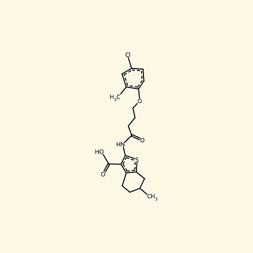 Cc1cc(Cl)ccc1OCCCC(=O)Nc1sc2c(c1C(=O)O)CCC(C)C2